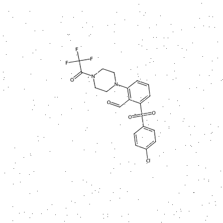 O=Cc1c(N2CCN(C(=O)C(F)(F)F)CC2)cccc1S(=O)(=O)c1ccc(Cl)cc1